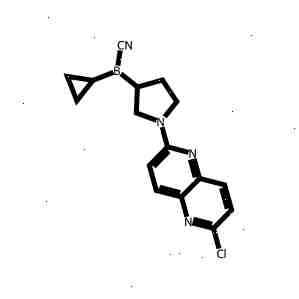 N#CB(C1CC1)C1CCN(c2ccc3nc(Cl)ccc3n2)C1